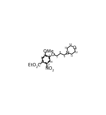 CCOC(=O)c1cc(OC)c(OCCCN2CCOCC2)cc1[N+](=O)[O-]